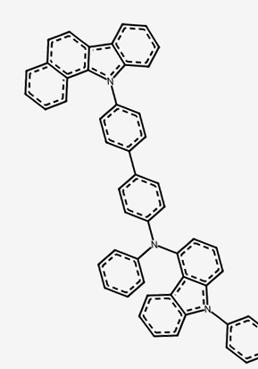 c1ccc(N(c2ccc(-c3ccc(-n4c5ccccc5c5ccc6ccccc6c54)cc3)cc2)c2cccc3c2c2ccccc2n3-c2ccccc2)cc1